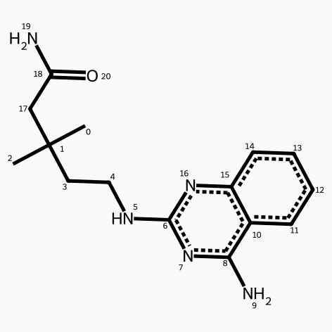 CC(C)(CCNc1nc(N)c2ccccc2n1)CC(N)=O